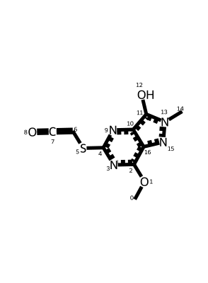 COc1nc(SC=C=O)nc2c(O)n(C)nc12